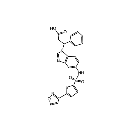 O=C(O)CC(c1ccccc1)n1cnc2cc(NS(=O)(=O)c3ccc(-c4ccon4)s3)ccc21